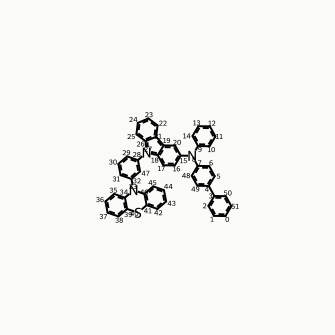 c1ccc(-c2ccc(N(c3ccccc3)c3ccc4c(c3)c3ccccc3n4-c3cccc(N4c5ccccc5Sc5ccccc54)c3)cc2)cc1